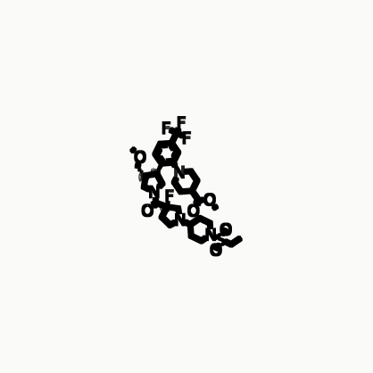 CCS(=O)(=O)N1CCC(N2CC[C@](F)(C(=O)N3C[C@H](COC)[C@@H](c4ccc(C(F)(F)F)cc4N4CCC(C(=O)OC)CC4)C3)C2)CC1